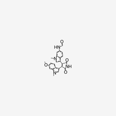 COc1ccc2c(C3=C(c4cn(C)c5cc(NC=O)ccc45)C(=O)NC3=O)cn(C)c2c1